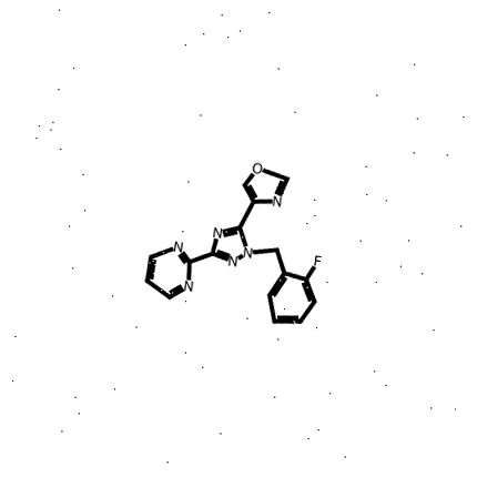 Fc1ccccc1Cn1nc(-c2ncccn2)nc1-c1cocn1